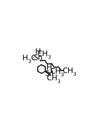 CCCCCCC[CH2][SnH]([CH3])[CH3].[CH3][SnH]([CH3])[CH]1CCCCC1